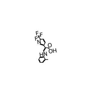 Cc1ccccc1NC=C(C(=O)O)c1ccc(C(F)(F)F)nc1